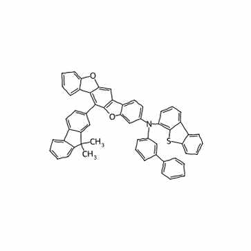 CC1(C)c2ccccc2-c2ccc(-c3c4oc5cc(N(c6cccc(-c7ccccc7)c6)c6cccc7c6sc6ccccc67)ccc5c4cc4oc5ccccc5c34)cc21